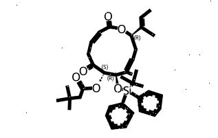 CC=C(C)[C@H]1CC=C(C)[C@@H](O[Si](c2ccccc2)(c2ccccc2)C(C)(C)C)[C@H](OC(=O)CC(C)(C)C)C(=O)CC=CC(=O)O1